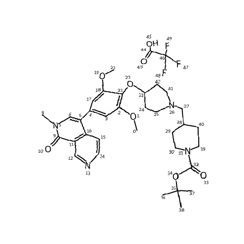 COc1cc(-c2cn(C)c(=O)c3cnccc23)cc(OC)c1OC1CCN(CC2CCN(C(=O)OC(C)(C)C)CC2)CC1.O=C(O)C(F)(F)F